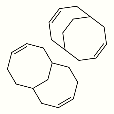 C1=CCC2CC=CCC(C1)CC2.C1=CCC2CCC=CCC(CC1)C2